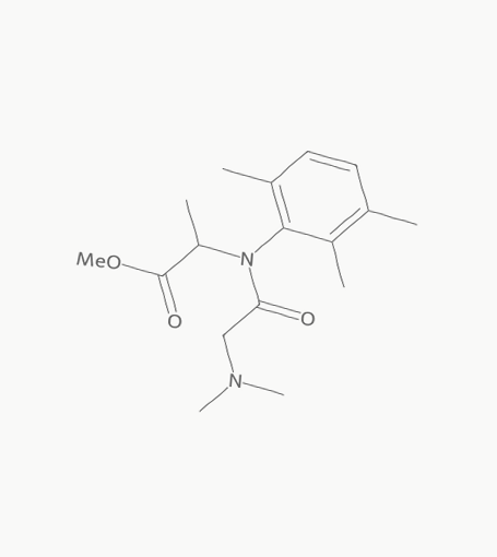 COC(=O)C(C)N(C(=O)CN(C)C)c1c(C)ccc(C)c1C